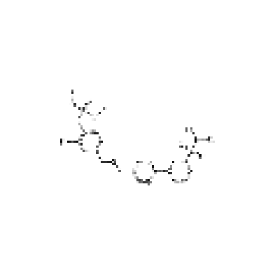 CCN(CC)S(=O)(=O)c1cccc(-c2ccc(CSCc3ccc(CP(=O)(OF)OF)c(Br)c3)cn2)c1